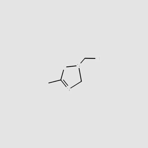 CC1=NCN(CCl)S1